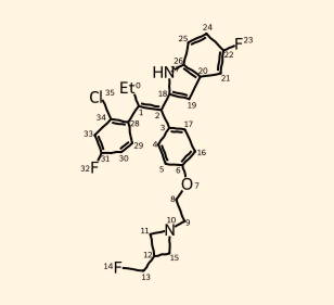 CC/C(=C(/c1ccc(OCCN2CC(CF)C2)cc1)c1cc2cc(F)ccc2[nH]1)c1ccc(F)cc1Cl